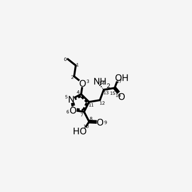 CCCOc1noc(C(=O)O)c1C[C@H](N)C(=O)O